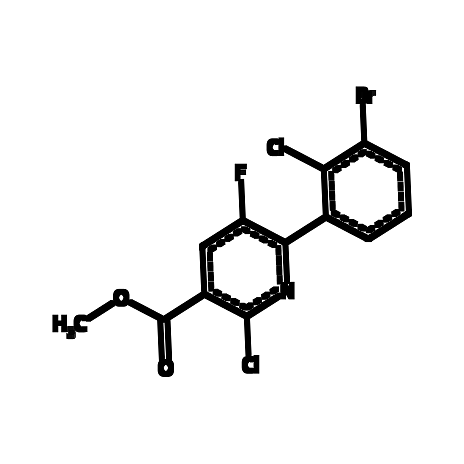 COC(=O)c1cc(F)c(-c2cccc(Br)c2Cl)nc1Cl